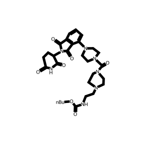 CCCCOC(=O)NCCN1CCN(C(=O)N2CCN(c3cccc4c3C(=O)N(C3CCC(=O)NC3=O)C4=O)CC2)CC1